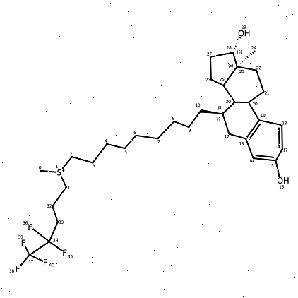 C[S+](CCCCCCCCC[C@@H]1Cc2cc(O)ccc2C2CC[C@@]3(C)C(CC[C@@H]3O)C21)CCCC(F)(F)C(F)(F)F